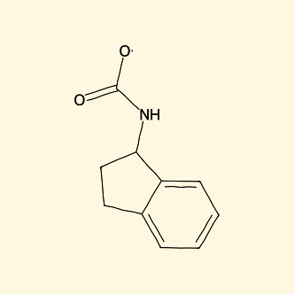 [O]C(=O)NC1CCc2ccccc21